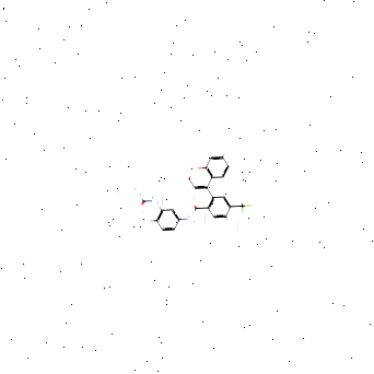 NC(=O)Nc1cc(NC(=O)c2cc(Cl)c(C(F)(F)F)cc2C2=CCOc3cc(F)ccc32)ccc1F